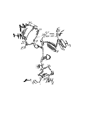 CCc1cc(NC(=O)C(=O)N2C[C@H](C)C(F)(F)C[C@H]2c2ccc3[nH]ncc3c2)cnc1N